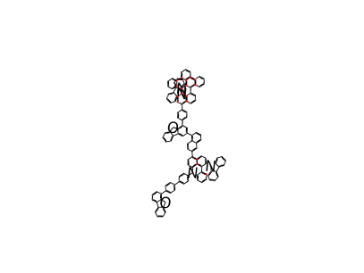 c1ccc(-c2cccc(-c3ccccc3N(c3ccc(-c4ccc(-c5cc(-c6cccc7cc(-c8ccc(N(c9ccc(-c%10ccc(-c%11cccc%12c%11oc%11ccccc%11%12)cc%10)cc9)c9ccccc9-c9ccccc9-n9c%10ccccc%10c%10ccccc%109)cc8)ccc67)cc6c5oc5ccccc56)cc4)cc3)c3ccccc3-c3ccccc3-n3c4ccccc4c4ccccc43)c2)cc1